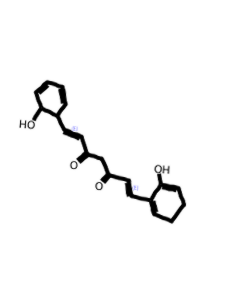 O=C(/C=C/C1=CCCC=C1O)CC(=O)/C=C/C1C=CC=CC1O